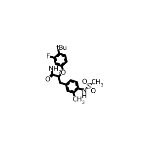 Cc1cc(CC(Oc2ccc(C(C)(C)C)c(F)c2)C(N)=O)ccc1NS(C)(=O)=O